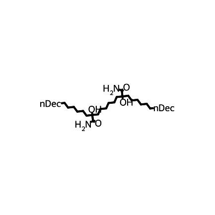 CCCCCCCCCCCCCCCCC(O)(CCCCCCC(O)(CCCCCCCCCCCCCCCC)C(N)=O)C(N)=O